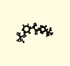 CC(=O)Oc1cccc(C(=O)Nc2ncc(C(F)(F)F)s2)c1